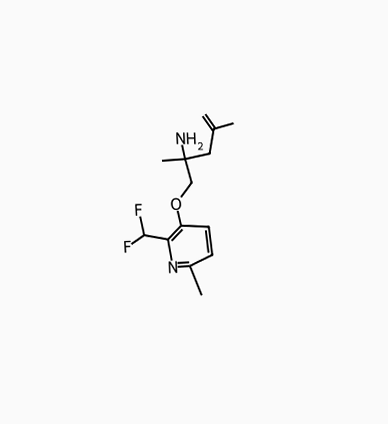 C=C(C)CC(C)(N)COc1ccc(C)nc1C(F)F